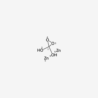 OC1(O)OO1.[Zn].[Zn]